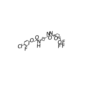 O=C(COc1ccc(Cl)c(F)c1)NC12CC(c3nnc([C@H]4CC[C@@H](COC(F)(F)F)O4)o3)(C1)C2